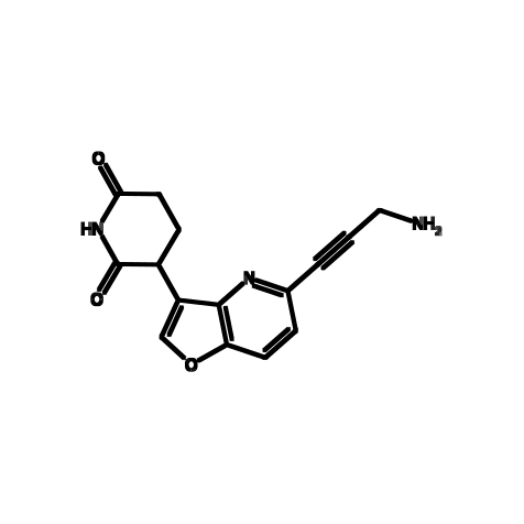 NCC#Cc1ccc2occ(C3CCC(=O)NC3=O)c2n1